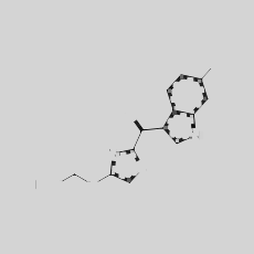 CCSc1csc(C(=O)c2c[nH]c3cc(F)ccc23)n1